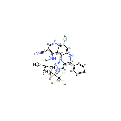 CC(C)(C)CNc1c(C#N)cnc2c(Cl)cc(N[C@@H](c3ccccc3)c3cn(C4(C(F)(F)F)CC4)nn3)cc12